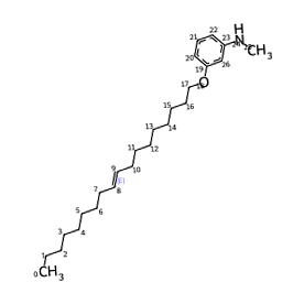 CCCCCCCC/C=C/CCCCCCCCOc1cccc(NC)c1